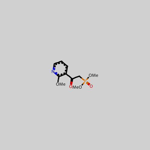 COc1ncccc1C(=O)CP(=O)(OC)OC